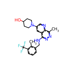 Cc1c(CNc2nnc(C)c3ncc(N4CCC(O)CC4)cc23)cccc1C(F)(F)F